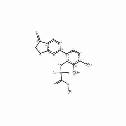 CCCCOC(=O)C(C)(C)Oc1c(-c2ccc3c(c2)CCC3=O)ccc(OC)c1OC